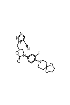 N#Cc1cnnn1CC1CN(c2ccc(N3CCC4(CC3)OCCO4)c(F)c2)C(=O)O1